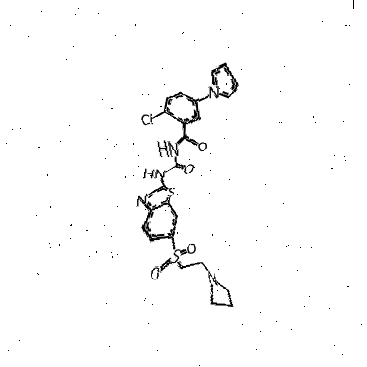 O=C(NC(=O)c1cc(-n2cccc2)ccc1Cl)Nc1nc2ccc(S(=O)(=O)CCN3CCC3)cc2s1